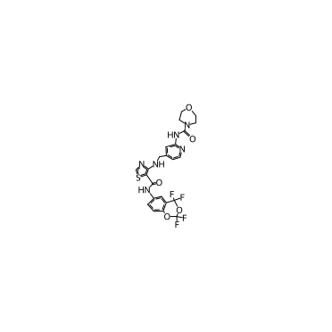 O=C(Nc1ccc2c(c1)C(F)(F)OC(F)(F)O2)c1scnc1NCc1ccnc(NC(=O)N2CCOCC2)c1